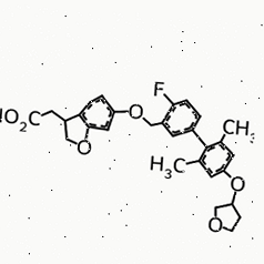 Cc1cc(OC2CCOC2)cc(C)c1-c1ccc(F)c(COc2ccc3c(c2)OCC3CC(=O)O)c1